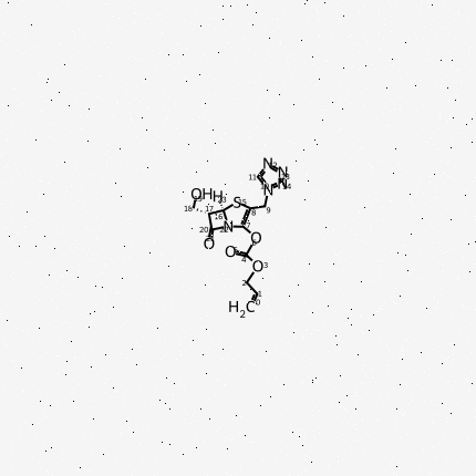 C=CCOC(=O)OC1=C(Cn2cnnn2)S[C@@H]2[C@@H](CO)C(=O)N12